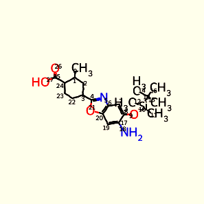 CC1CC(c2nc3cc(O[Si](C)(C)C(C)(C)C)c(N)cc3o2)CCC1C(=O)O